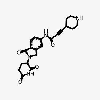 O=C(C#CC1CCNCC1)Nc1ccc2c(c1)CN(C1CCC(=O)NC1=O)C2=O